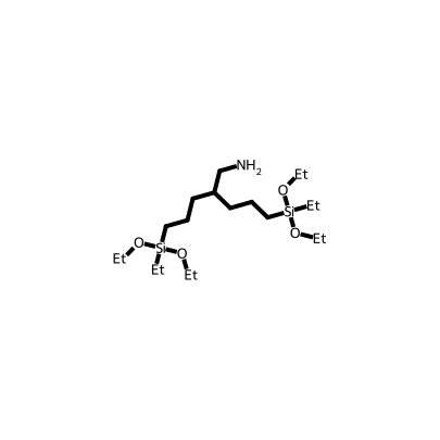 CCO[Si](CC)(CCCC(CN)CCC[Si](CC)(OCC)OCC)OCC